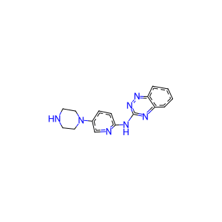 c1ccc2nc(Nc3ccc(N4CCNCC4)cn3)nnc2c1